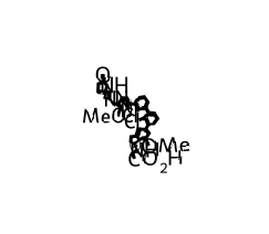 COc1cc(-c2cccc(-c3cccc(-c4cnc(CN5CC6(CCC(=O)N6)C5)c(OC)n4)c3Cl)c2Cl)cc2c1[C@@H](NCC(=O)O)CC2